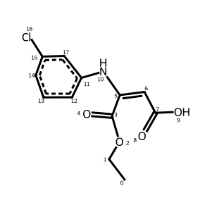 CCOC(=O)C(=CC(=O)O)Nc1cccc(Cl)c1